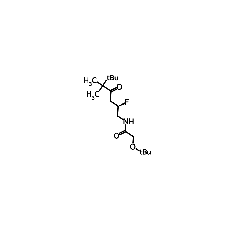 CC(C)(C)OCC(=O)NC[C@H](F)CC(=O)C(C)(C)C(C)(C)C